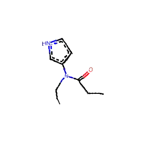 CCC(=O)N(CC)c1cc[nH]c1